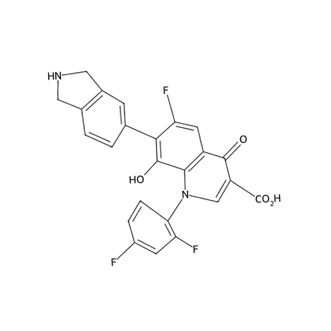 O=C(O)c1cn(-c2ccc(F)cc2F)c2c(O)c(-c3ccc4c(c3)CNC4)c(F)cc2c1=O